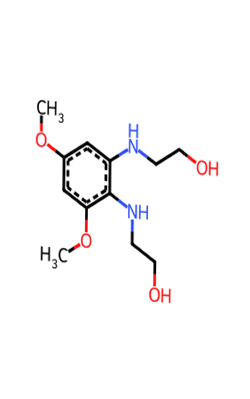 COc1cc(NCCO)c(NCCO)c(OC)c1